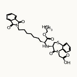 CCOC(=O)[C@H](CCCCCCCN1C(=O)c2ccccc2C1=O)N[C@H]1CSc2ccccc2N(CC(=O)O)C1=O.Cl